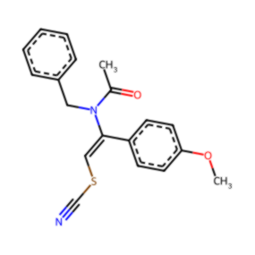 COc1ccc(/C(=C\SC#N)N(Cc2ccccc2)C(C)=O)cc1